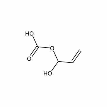 C=CC(O)OC(=O)O